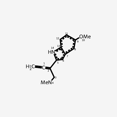 C=C=C(CNC)c1cc2cc(OC)ccc2[nH]1